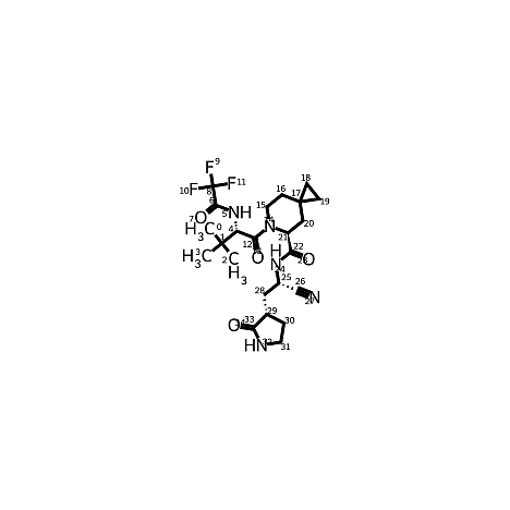 CC(C)(C)[C@H](NC(=O)C(F)(F)F)C(=O)N1CCC2(CC2)C[C@H]1C(=O)N[C@H](C#N)C[C@@H]1CCNC1=O